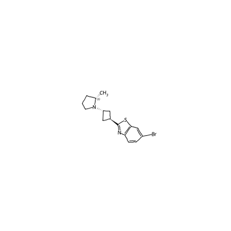 C[C@H]1CCCN1[C@H]1C[C@H](c2nc3ccc(Br)cc3s2)C1